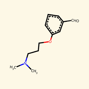 CN(C)CCCOc1cccc(C=O)c1